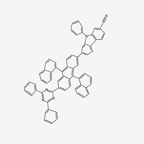 N#Cc1ccc2c3ccc(-c4ccc5c(-c6cccc7ccccc67)c6cc(-c7nc(-c8ccccc8)nc(-c8ccccc8)n7)ccc6c(-c6cccc7ccccc67)c5c4)cc3n(-c3ccccc3)c2c1